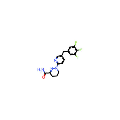 NC(=O)C1=NN(c2ccc(Cc3cc(F)c(F)c(F)c3)cn2)CCC1